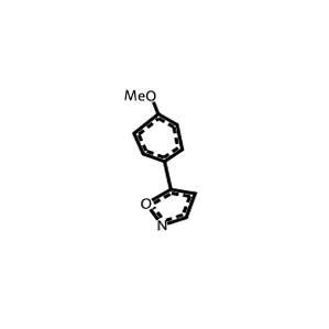 [CH2]Oc1ccc(-c2ccno2)cc1